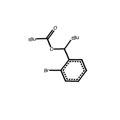 CC(C)(C)C(=O)OC(c1ccccc1Br)C(C)(C)C